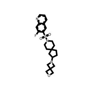 O=S(=O)(c1cc2cccnc2cc1F)N1CCC2(CCC(N3CC4(COC4)C3)C2)CC1